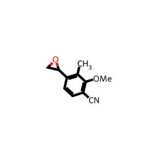 COc1c(C#N)ccc(C2CO2)c1C